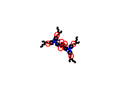 CCCCC(CC)COc1ccc(N(c2ccc(OCC(CC)CCCC)cc2)c2ccc(C3=C([O-])/C(=C4\C=CC(=[N+](c5ccc(OCC(CC)CCCC)cc5)c5ccc(OCC(CC)CCCC)cc5)S4)C(=O)C3=O)s2)cc1